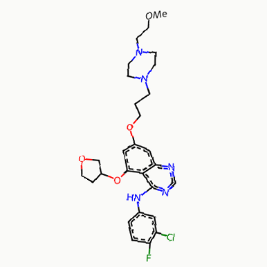 COCCN1CCN(CCCOc2cc(OC3CCOC3)c3c(Nc4ccc(F)c(Cl)c4)ncnc3c2)CC1